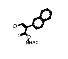 CCC=C(C(=O)ONC(C)=O)c1ccc2ccccc2c1